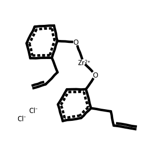 C=CCc1ccccc1[O][Zr+2][O]c1ccccc1CC=C.[Cl-].[Cl-]